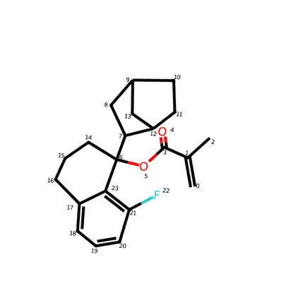 C=C(C)C(=O)OC1(C2CC3CCC2C3)CCCc2cccc(F)c21